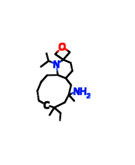 CCC1(C)CCCCCC2C(CCC3(COC3)N2C(C)C)CC(C)(N)C1